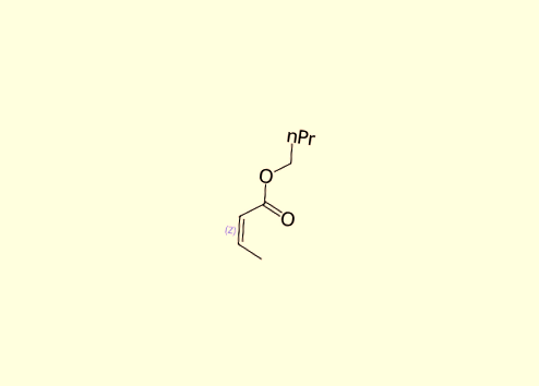 C/C=C\C(=O)OCCCC